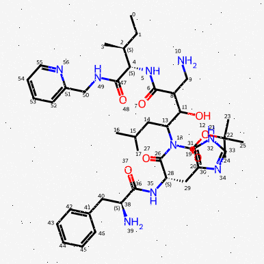 CC[C@H](C)[C@H](NC(=O)C(CN)C(O)C(CC(C)C)N(C(=O)OC(C)(C)C)C(=O)[C@H](Cc1c[nH]cn1)NC(=O)[C@@H](N)Cc1ccccc1)C(=O)NCc1ccccn1